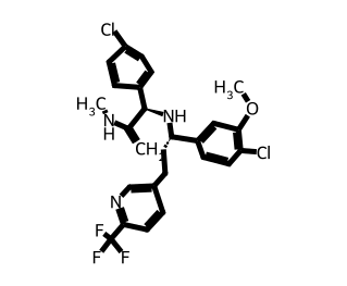 C=C(NC)[C@H](N[C@@H](CCc1ccc(C(F)(F)F)nc1)c1ccc(Cl)c(OC)c1)c1ccc(Cl)cc1